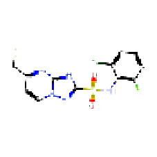 O=S(=O)(Nc1c(F)cccc1Cl)c1nc2nc(CF)ccn2n1